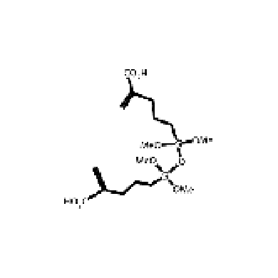 C=C(CCC[Si](OC)(OC)O[Si](CCCC(=C)C(=O)O)(OC)OC)C(=O)O